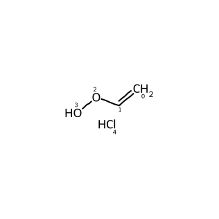 C=COO.Cl